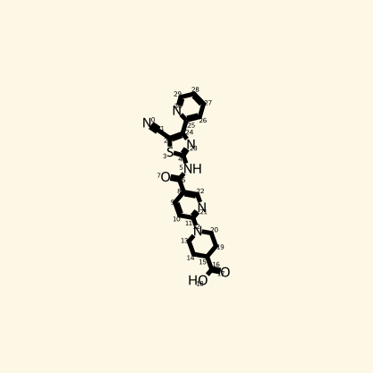 N#Cc1sc(NC(=O)c2ccc(N3CCC(C(=O)O)CC3)nc2)nc1-c1ccccn1